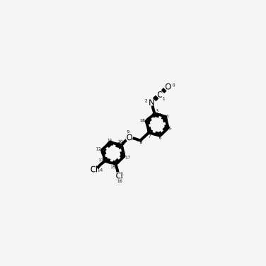 O=C=Nc1cccc(COc2ccc(Cl)c(Cl)c2)c1